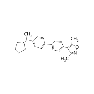 Cc1noc(C)c1-c1ccc(-c2ccc(C(C)N3CCCC3)cc2)cc1